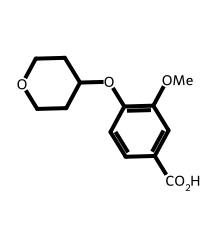 COc1cc(C(=O)O)ccc1OC1CCOCC1